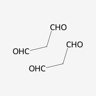 O=CCC=O.O=CCC=O